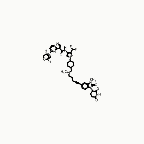 CN(CCCC#Cc1ccc2c(c1)n(C)c(=O)n2C1CCC(=O)NC1=O)CC1CCC(n2cc(NC(=O)c3cnn4ccc(N5C[C@H]6C[C@@H]5CO6)nc34)c(C(F)F)n2)CC1